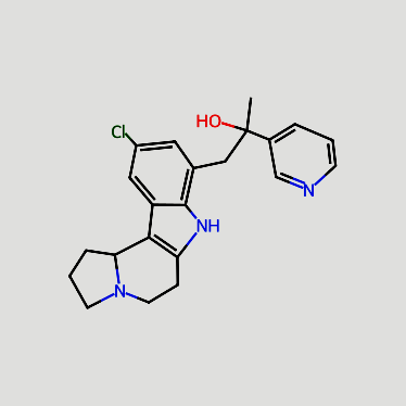 CC(O)(Cc1cc(Cl)cc2c3c([nH]c12)CCN1CCCC31)c1cccnc1